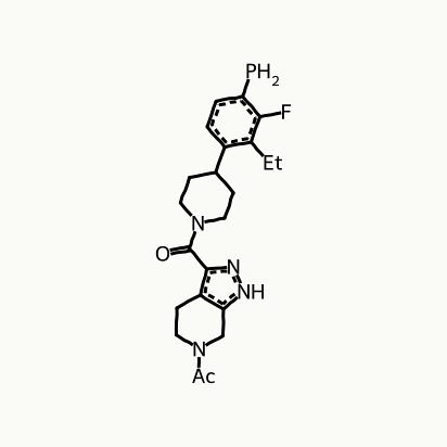 CCc1c(C2CCN(C(=O)c3n[nH]c4c3CCN(C(C)=O)C4)CC2)ccc(P)c1F